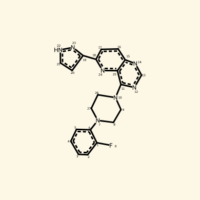 Fc1ccccc1N1CCN(c2ncnc3ccc(-c4cc[nH]n4)nc23)CC1